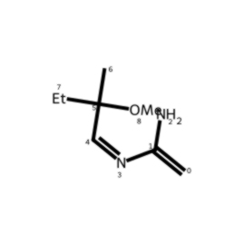 C=C(N)/N=C\C(C)(CC)OC